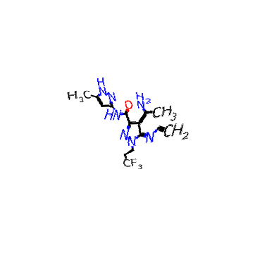 C=C/N=C1\C(=C(/C)N)C(C(=O)Nc2cc(C)[nH]n2)=NN1CCC(F)(F)F